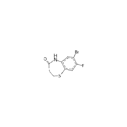 O=C1CCSc2cc(F)c(Br)cc2N1